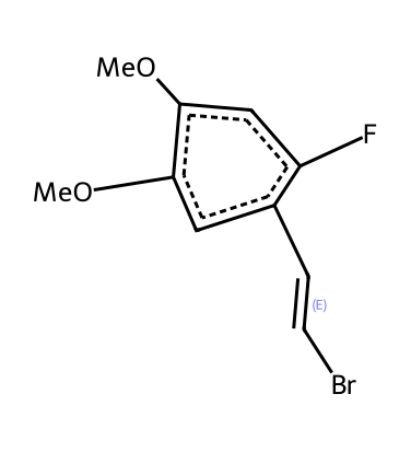 COc1cc(F)c(/C=C/Br)cc1OC